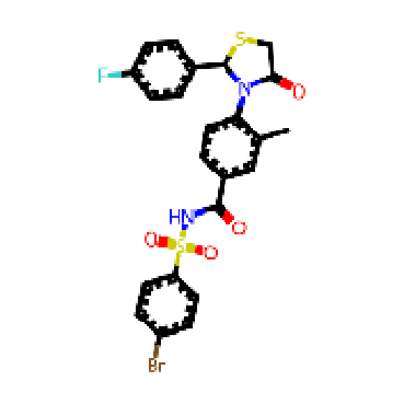 Cc1cc(C(=O)NS(=O)(=O)c2ccc(Br)cc2)ccc1N1C(=O)CSC1c1ccc(F)cc1